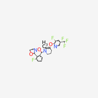 C[C@H]1[C@H](Oc2ncc(C(F)(F)F)cc2F)CCCN1C(=O)c1cccc(F)c1-c1ncco1